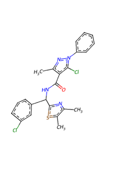 Cc1nc(C(NC(=O)c2c(C)nn(-c3ccccc3)c2Cl)c2cccc(Cl)c2)sc1C